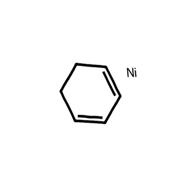 C1=CCCC=C1.[Ni]